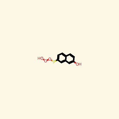 OOOSc1ccc2ccc(O)cc2c1